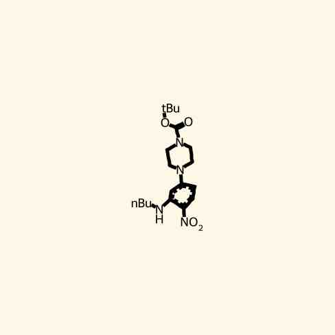 CCCCNc1cc(N2CCN(C(=O)OC(C)(C)C)CC2)ccc1[N+](=O)[O-]